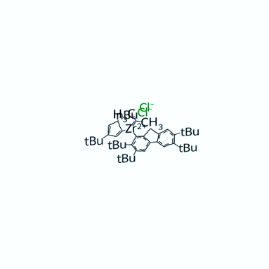 CCCCC1C=C(C(C)(C)C)C=[C]1[Zr+2](=[C](C)C)[c]1c2c(cc(C(C)(C)C)c1C(C)(C)C)-c1cc(C(C)(C)C)c(C(C)(C)C)cc1C2.[Cl-].[Cl-]